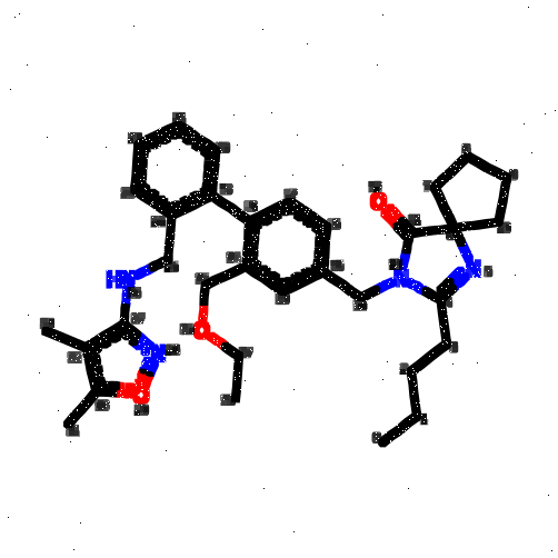 CCCCC1=NC2(CCCC2)C(=O)N1Cc1ccc(-c2ccccc2CNc2noc(C)c2C)c(COCC)c1